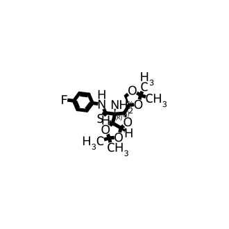 CC1(C)OC[C@H]([C@H]2O[C@@H]3OC(C)(C)O[C@@H]3[C@@]2(N)C(=S)Nc2ccc(F)cc2)O1